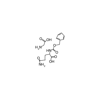 NC(=O)CCC(NC(=O)OCc1ccccc1)C(=O)O.NCC(=O)O